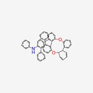 C1=CC2Oc3cccc(-c4ccccc4)c3-c3c(cccc3-c3ccc(Nc4ccccc4)c(-c4ccccc4)c3)Oc3ccccc3C2C=C1